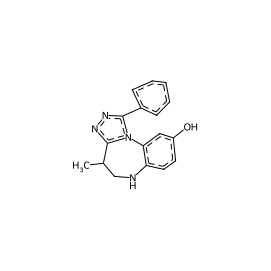 CC1CNc2ccc(O)cc2-n2c(-c3ccccc3)nnc21